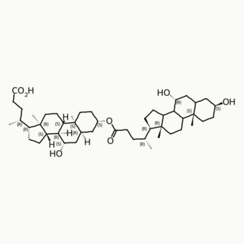 C[C@H](CCC(=O)O)[C@H]1CC[C@H]2[C@@H]3[C@@H](O)C[C@@H]4C[C@@H](OC(=O)CC[C@@H](C)[C@H]5CCC6C7C(CC[C@@]65C)[C@@]5(C)CC[C@H](O)CC5C[C@H]7O)CC[C@]4(C)[C@H]3CC[C@]12C